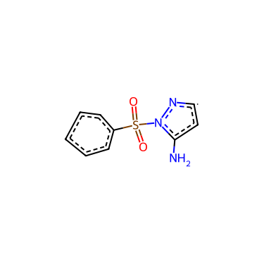 Nc1c[c]nn1S(=O)(=O)c1ccccc1